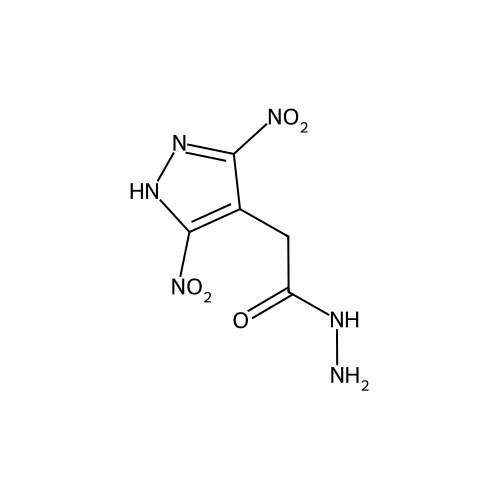 NNC(=O)Cc1c([N+](=O)[O-])n[nH]c1[N+](=O)[O-]